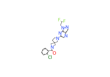 O=C(c1ccccc1Cl)N1CC2(CCN(c3cnc4cnn(CC(F)F)c4n3)C2)C1